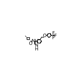 C[C@H]1C[C@H](C(=O)Nc2c[nH]c3ccc(CCOc4ccc(C(F)(F)F)cc4)cc23)C1